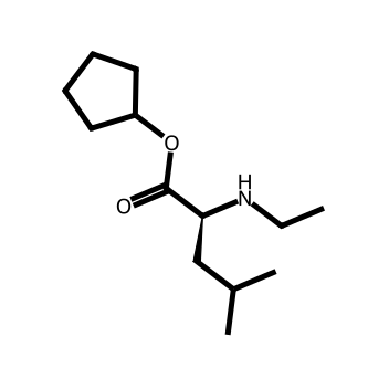 CCN[C@@H](CC(C)C)C(=O)OC1CCCC1